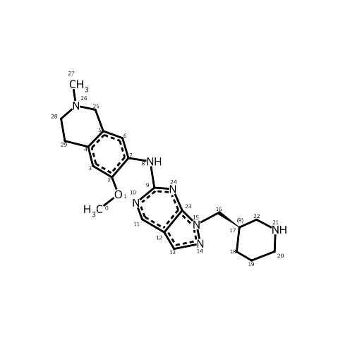 COc1cc2c(cc1Nc1ncc3cnn(C[C@@H]4CCCNC4)c3n1)CN(C)CC2